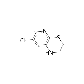 Clc1[c]nc2c(c1)NCCS2